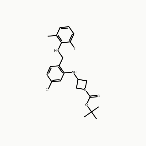 Cc1cccc(F)c1NCc1cnc(Cl)cc1NC1CN(C(=O)OC(C)(C)C)C1